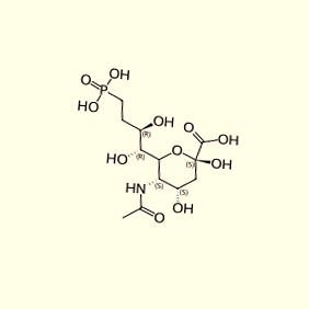 CC(=O)N[C@@H]1C([C@H](O)[C@H](O)CCP(=O)(O)O)O[C@](O)(C(=O)O)C[C@@H]1O